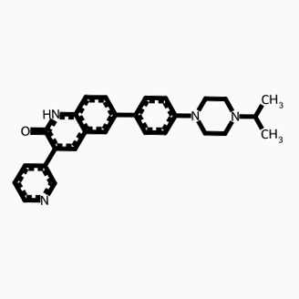 CC(C)N1CCN(c2ccc(-c3ccc4[nH]c(=O)c(-c5cccnc5)cc4c3)cc2)CC1